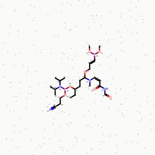 CCC(CCC(OC/C=C/P(OC)OC)N(C)/C=C\C(=O)NC=O)OP(OCCC#N)N(C(C)C)C(C)C